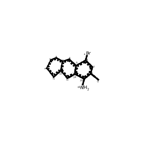 Cc1cc(Br)c2cc3ccccc3cc2c1N